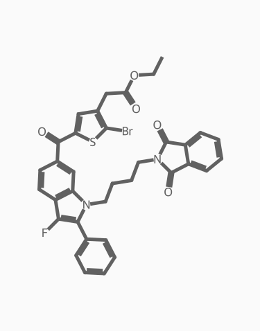 CCOC(=O)Cc1cc(C(=O)c2ccc3c(F)c(-c4ccccc4)n(CCCCN4C(=O)c5ccccc5C4=O)c3c2)sc1Br